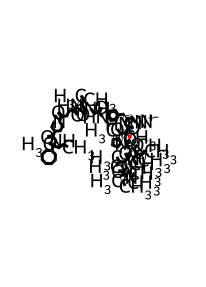 CCCC(C)(NC(=O)C1CCN(C(=O)CCC(=O)N[C@H](C(=O)NCC(=O)Nc2ccc(C[C@@H](CN=[N+]=[N-])NC(=O)[C@H](C)C(OC)[C@@H]3CCCN3C(=O)C[C@@H](OC)C([C@@H](C)CC)N(C)C(=O)[C@@H](NC(=O)[C@H](C(C)C)N(C)C)C(C)C)cc2)C(C)C)CC1)C1CCCCCCC1